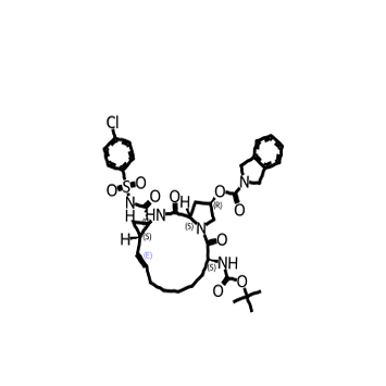 CC(C)(C)OC(=O)N[C@H]1CCCCC/C=C/[C@@H]2C[C@@]2(C(=O)NS(=O)(=O)c2ccc(Cl)cc2)NC(=O)[C@@H]2C[C@@H](OC(=O)N3Cc4ccccc4C3)CN2C1=O